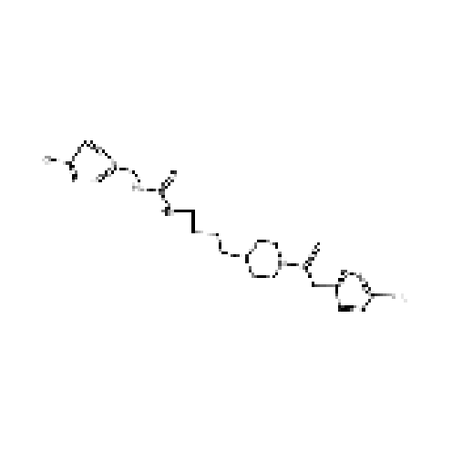 Cc1ccc(CC(=O)N2CCC(CCCCNC(=O)NCc3ccc(Cl)cc3)CC2)cn1